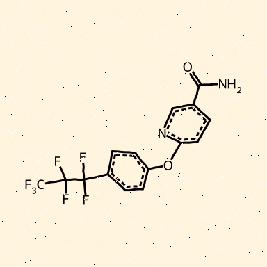 NC(=O)c1ccc(Oc2ccc(C(F)(F)C(F)(F)C(F)(F)F)cc2)nc1